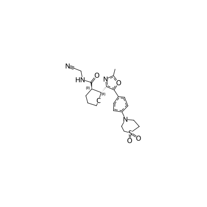 Cc1nc([C@@H]2CCCC[C@H]2C(=O)NCC#N)c(-c2ccc(N3CCS(=O)(=O)CC3)cc2)o1